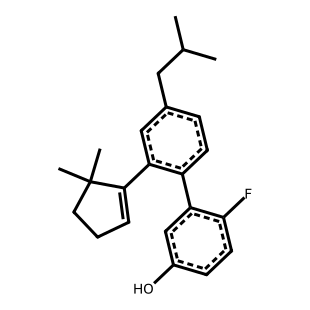 CC(C)Cc1ccc(-c2cc(O)ccc2F)c(C2=CCCC2(C)C)c1